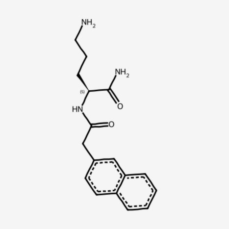 NCCC[C@H](NC(=O)Cc1ccc2ccccc2c1)C(N)=O